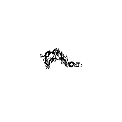 C[C@@H](Cn1cnnn1)Oc1cc(-c2cnc(Nc3cn([C@H]4CC[C@H](N5CCOCC5)CC4)nc3OCC3CCOC3)nc2)ccc1C#N